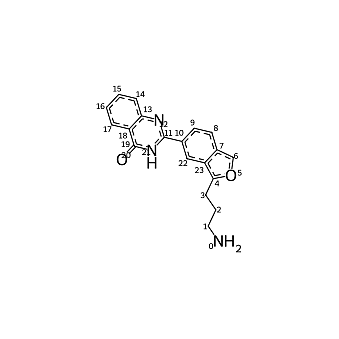 NCCCc1occ2ccc(-c3nc4ccccc4c(=O)[nH]3)cc12